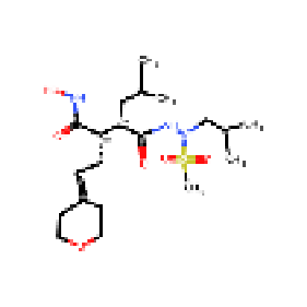 CC(C)C[C@@H](C(=O)NN(CC(C)C)S(C)(=O)=O)[C@H](CC=C1CCOCC1)C(=O)NO